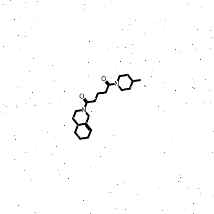 CC1CCN(C(=O)CCCC(=O)N2CCC3CCCC=C3C2)CC1